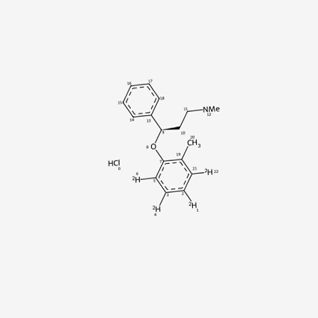 Cl.[2H]c1c([2H])c([2H])c(O[C@H](CCNC)c2ccccc2)c(C)c1[2H]